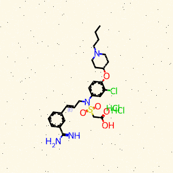 CCCCN1CCC(Oc2ccc(N(C/C=C/c3cccc(C(=N)N)c3)S(=O)(=O)CC(=O)O)cc2Cl)CC1.Cl.Cl